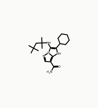 CC(C)(C)CC(C)(C)Nc1c(C2CCCCC2)[nH]c2c(C(N)=O)cnn12